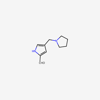 O=Cc1cc(CN2CCCC2)c[nH]1